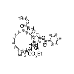 CCOC(=O)[C@@]12C[C@H]1C=CCCCCC[C@H](NC(=O)OC(C)(C)C)C(=O)N1C[C@@H](OC(=O)c3ccccc3)C[C@H]1C(=O)N2